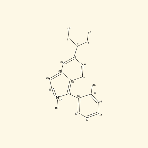 CCC(CC)c1ccc2c(-c3ccccc3C)[n+](C)ccc2c1